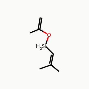 C=C(C)O[SiH2]C=C(C)C